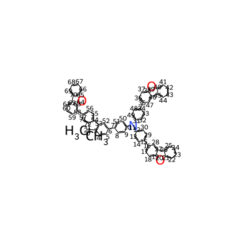 CC1(C)c2ccc(-c3ccc(N(c4ccc(-c5ccc6oc7ccccc7c6c5)cc4)c4ccc(-c5ccc6oc7ccccc7c6c5)cc4)cc3)cc2-c2ccc(-c3cccc4c3oc3ccccc34)cc21